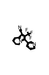 N#Cc1c(C(F)(F)F)c(-c2cccnc2)n2c1C=CCC2